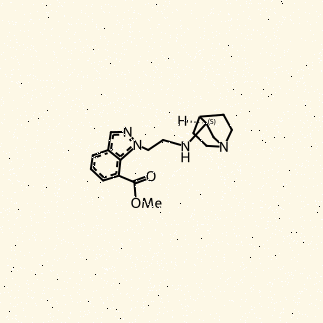 COC(=O)c1cccc2cnn(CCN[C@@H]3CN4CCC3CC4)c12